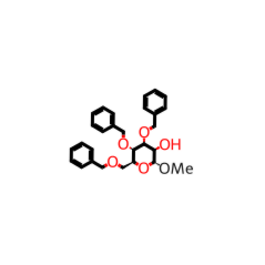 CO[C@@H]1O[C@@H](COCc2ccccc2)[C@H](OCc2ccccc2)[C@@H](OCc2ccccc2)[C@H]1O